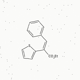 CCOC(=O)C(=Cc1ccccc1)c1cccs1